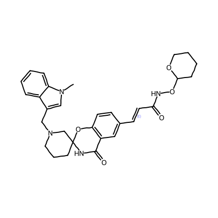 Cn1cc(CN2CCCC3(C2)NC(=O)c2cc(/C=C/C(=O)NOC4CCCCO4)ccc2O3)c2ccccc21